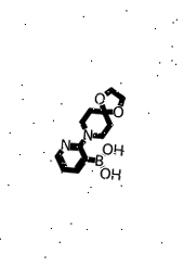 OB(O)c1cccnc1N1CCC2(CC1)OCCO2